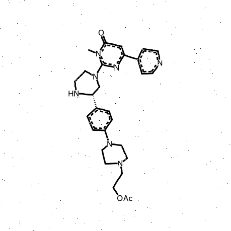 CC(=O)OCCN1CCN(c2ccc([C@H]3CN(c4nc(-c5ccncc5)cc(=O)n4C)CCN3)cc2)CC1